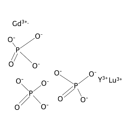 O=P([O-])([O-])[O-].O=P([O-])([O-])[O-].O=P([O-])([O-])[O-].[Gd+3].[Lu+3].[Y+3]